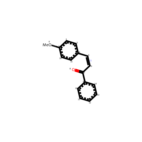 COc1ccc(/C=C\C(=O)c2ccccc2)cc1